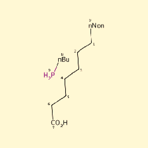 CCCCCCCCCCCCCCCC(=O)O.CCCCP